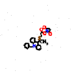 CC(SCCC(=O)ON1C(=O)CCC1=O)=C1c2ccccc2N(Cc2ccccc2)c2ccccc21